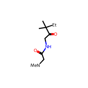 CCC(C)(C)C(=O)CNC(=O)CNC